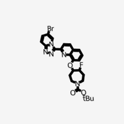 CC(C)(C)OC(=O)N1CCC(F)C(Oc2cccc3ccc(-c4nnc5ccc(Br)cn45)nc23)CC1